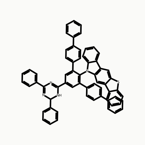 c1ccc(C2=NC(c3ccccc3)NC(c3cc(-c4ccc(-c5ccccc5)cc4)c(-n4c5ccccc5c5cc6sc7ccccc7c6cc54)c(-c4ccc(-c5ccccc5)cc4)c3)=N2)cc1